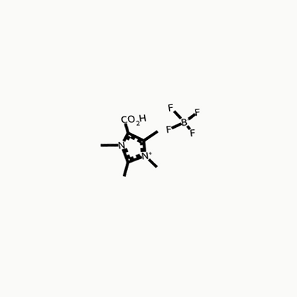 Cc1c(C(=O)O)n(C)c(C)[n+]1C.F[B-](F)(F)F